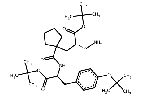 CC(C)(C)OC(=O)[C@H](CN)CC1(C(=O)N[C@@H](Cc2ccc(OC(C)(C)C)cc2)C(=O)OC(C)(C)C)CCCC1